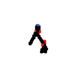 CCCCCCCCCCC(CCCCCCCCC(=O)OCC(CCC)CC(CCC)CCC)OC(=O)C1CCN(C)CC1